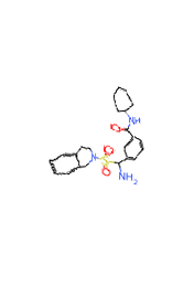 NC(c1cccc(C(=O)NC2CCCCC2)c1)S(=O)(=O)N1CCc2ccccc2C1